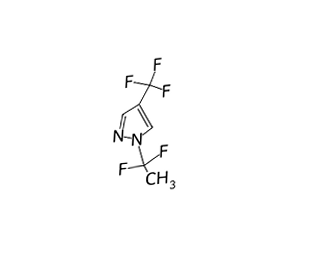 CC(F)(F)n1cc(C(F)(F)F)cn1